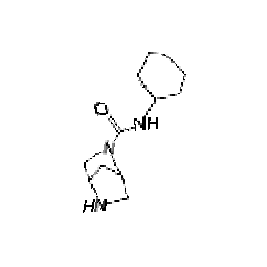 O=C(NC1CCCCC1)N1CC2CC1CN2